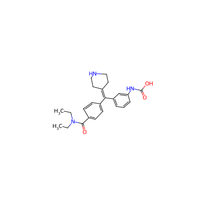 CCN(CC)C(=O)c1ccc(C(=C2CCNCC2)c2cccc(NC(=O)O)c2)cc1